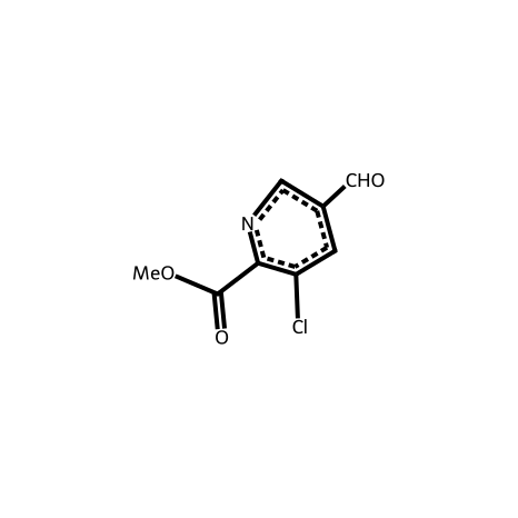 COC(=O)c1ncc(C=O)cc1Cl